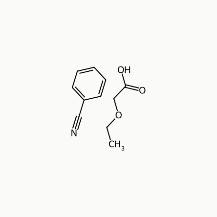 CCOCC(=O)O.N#Cc1ccccc1